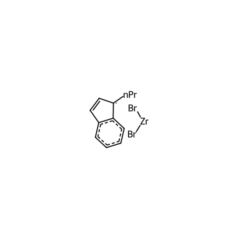 CCC[C]1C=Cc2ccccc21.[Br][Zr][Br]